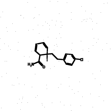 NC(=O)C1C=CC=CC1(I)CCc1ccc(Cl)cc1